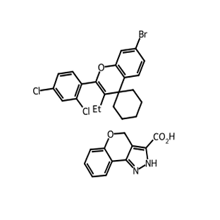 CCC1=C(c2ccc(Cl)cc2Cl)Oc2cc(Br)ccc2C12CCCCC2.O=C(O)c1[nH]nc2c1COc1ccccc1-2